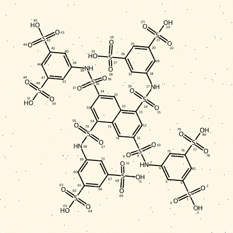 O=S(=O)(O)c1cc(NS(=O)(=O)c2cc(S(=O)(=O)Nc3cc(S(=O)(=O)O)cc(S(=O)(=O)O)c3)c3cc(S(=O)(=O)Nc4cc(S(=O)(=O)O)cc(S(=O)(=O)O)c4)cc(S(=O)(=O)Nc4cc(S(=O)(=O)O)cc(S(=O)(=O)O)c4)c3c2)cc(S(=O)(=O)O)c1